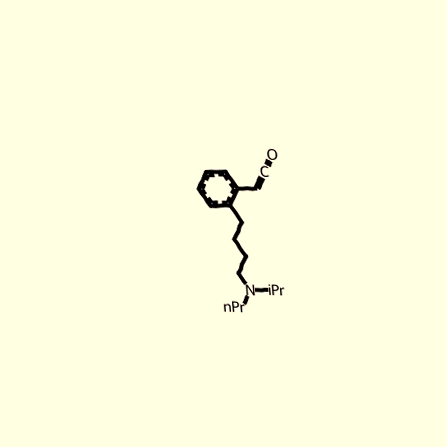 CCCN(CCCCc1ccccc1C=C=O)C(C)C